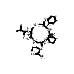 CCC(NC(=N)N)[C@@H]1NC(=O)[C@](C)(NC(=O)C(C)C)CCNC(=O)[C@@H](c2ccccc2)NC(=O)C2(CCCC2)NC1=O